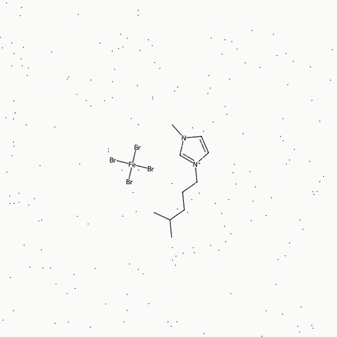 CC(C)CCC[n+]1ccn(C)c1.[Br][Fe]([Br])([Br])[Br]